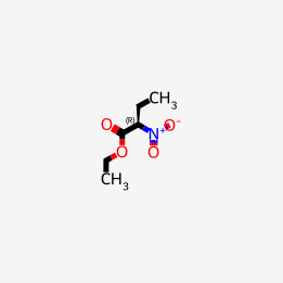 CCOC(=O)[C@@H](CC)[N+](=O)[O-]